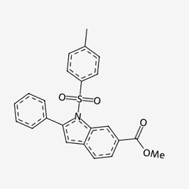 COC(=O)c1ccc2cc(-c3ccccc3)n(S(=O)(=O)c3ccc(C)cc3)c2c1